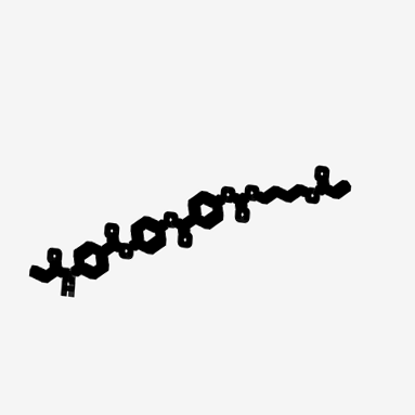 C=CC(=O)Nc1ccc(C(=O)Oc2ccc(OC(=O)c3ccc(OC(=O)OCCCCOC(=O)C=C)cc3)cc2)cc1